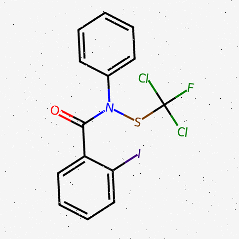 O=C(c1ccccc1I)N(SC(F)(Cl)Cl)c1ccccc1